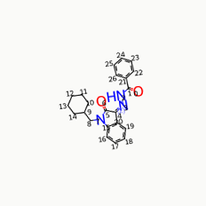 O=C(N/N=C1\C(=O)N(CC2CCCCC2)c2ccccc21)c1ccccc1